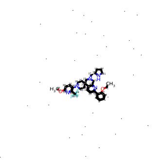 CCOc1ccccc1-c1ccc2c(n1)CN(C[C@H]1CCCN1)CC21CCN(c2ccc(OC)nc2C(F)(F)F)CC1